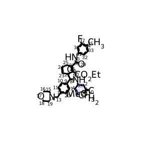 C=C(/C=C(\C=C/C)NC(c1ccc(CN2CCOCC2)cc1)C12C=CC(O1)C(C(=O)Nc1ccc(C)c(F)c1)=C2C(=O)OCC)OC